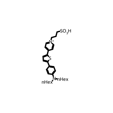 CCCCCCN(CCCCCC)c1ccc(-c2ccc(-c3cc[n+](CCCS(=O)(=O)O)cc3)s2)cc1